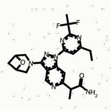 CCc1cc(-n2nc(N3CC4CC(C3)O4)c3cnc(C(C)C(N)=O)cc32)nc(C(C)(F)F)n1